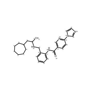 CC(CC1CCCCCC1)NCc1ccccc1NC(=O)c1ccc(-n2ccnc2)nc1